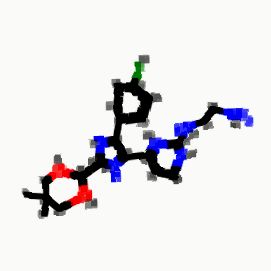 CC1(C)COC(c2nc(-c3ccc(F)cc3)c(-c3ccnc(NCCN)n3)[nH]2)OC1